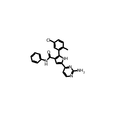 Cc1ccc(Cl)cc1-c1[nH]c(-c2ccnc(N)n2)cc1C(=O)Nc1ccccc1